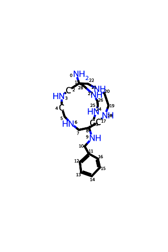 NC12CNCCNCC(NCc3ccccc3)(CNCCNC1)CNCCNC2